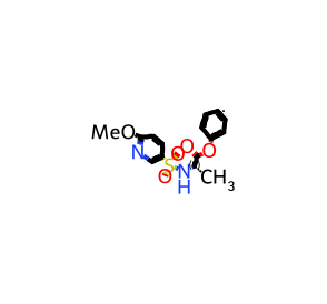 COc1ccc(S(=O)(=O)N[C@@H](C)C(=O)Oc2cc[c]cc2)cn1